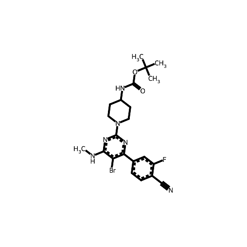 CNc1nc(N2CCC(NC(=O)OC(C)(C)C)CC2)nc(-c2ccc(C#N)c(F)c2)c1Br